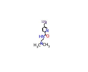 CN(C)CCNC(=O)c1ccc(C[125I])cn1